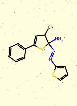 N#CC1C=C(c2ccccc2)SC1(N)N=Nc1cccs1